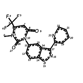 Cn1c(C(F)(F)F)cc(=O)n(-c2ccc3snc(-c4ccccn4)c3c2)c1=O